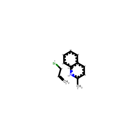 C=CCBr.Cc1ccc2ccccc2n1